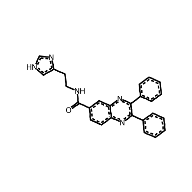 O=C(NCCc1c[nH]cn1)c1ccc2nc(-c3ccccc3)c(-c3ccccc3)nc2c1